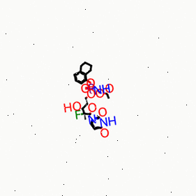 CC(=O)ONP(=O)(OC[C@H]1O[C@@H](n2ccc(=O)[nH]c2=O)[C@](C)(F)[C@@H]1O)Oc1cccc2c1CCCC2